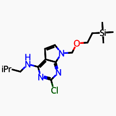 CC(C)CNc1nc(Cl)nc2c1ccn2COCC[Si](C)(C)C